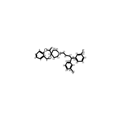 CC1Oc2ccccc2COC12CCN(CCCC(c1cccc(F)c1)c1cccc(F)c1)CC2